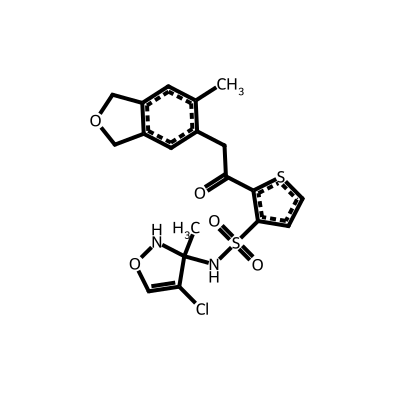 Cc1cc2c(cc1CC(=O)c1sccc1S(=O)(=O)NC1(C)NOC=C1Cl)COC2